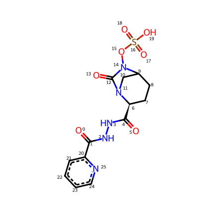 O=C(NNC(=O)[C@@H]1CCC2CN1C(=O)N2OS(=O)(=O)O)c1ccccn1